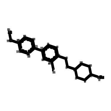 CCCCC1CCC(CCc2ccc(-c3ccc(OCC)nn3)cc2F)CC1